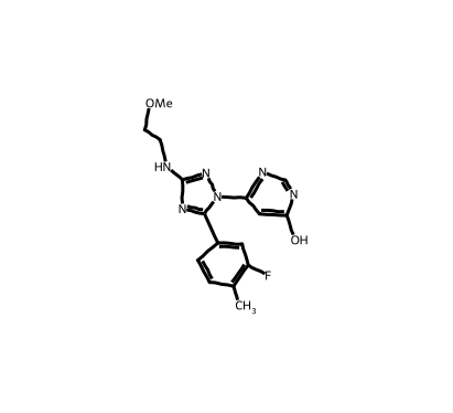 COCCNc1nc(-c2ccc(C)c(F)c2)n(-c2cc(O)ncn2)n1